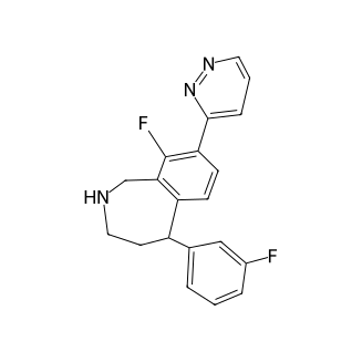 Fc1cccc(C2CCNCc3c2ccc(-c2cccnn2)c3F)c1